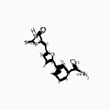 NC(=O)c1cccc(-c2ccc(/C=C3\SC(=S)NC3=O)o2)c1